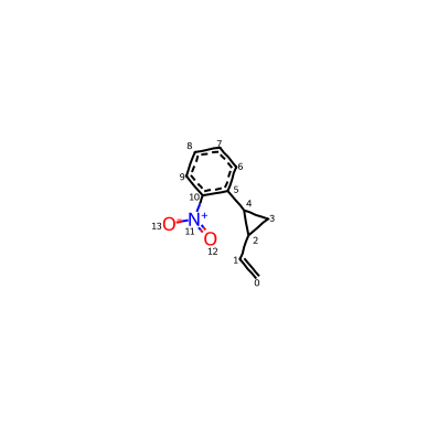 C=CC1CC1c1ccccc1[N+](=O)[O-]